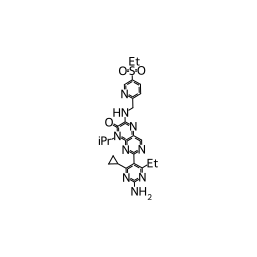 CCc1nc(N)nc(C2CC2)c1-c1ncc2nc(NCc3ccc(S(=O)(=O)CC)cn3)c(=O)n(C(C)C)c2n1